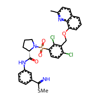 CSC(=N)c1cccc(NC(=O)[C@@H]2CCCN2S(=O)(=O)c2ccc(Cl)c(COc3cccc4ccc(C)nc34)c2Cl)c1